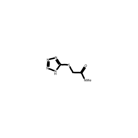 CNC(=O)CSc1nnn[nH]1